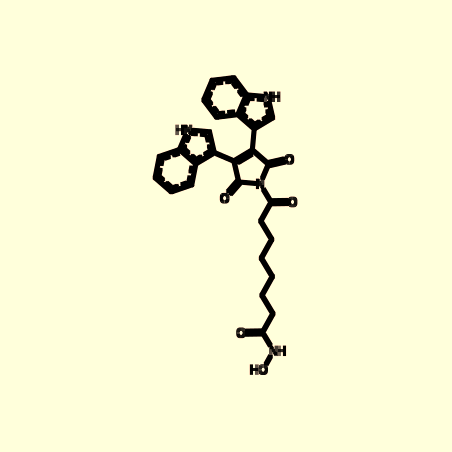 O=C(CCCCCCC(=O)N1C(=O)C(c2c[nH]c3ccccc23)=C(c2c[nH]c3ccccc23)C1=O)NO